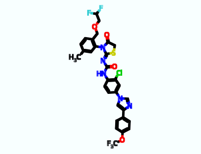 Cc1ccc(COCC(F)F)c(N2C(=O)CSC2=NC(=O)Nc2ccc(-n3cnc(-c4ccc(OC(F)(F)F)cc4)c3)cc2Cl)c1